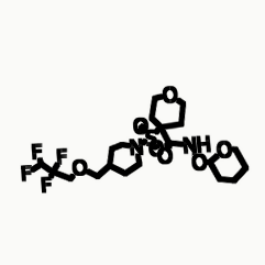 O=C(NOC1CCCCO1)C1(S(=O)(=O)N2CCC(COCC(F)(F)C(F)F)CC2)CCOCC1